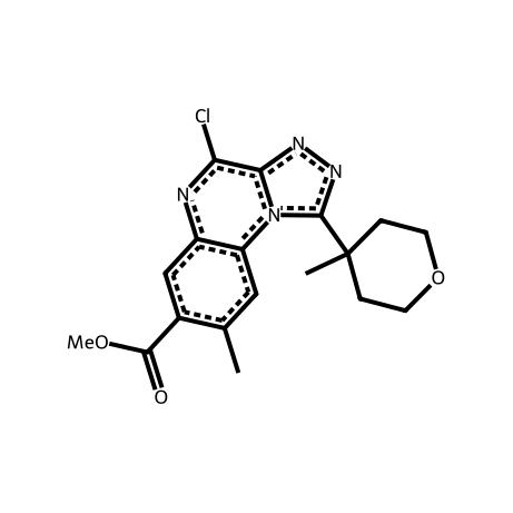 COC(=O)c1cc2nc(Cl)c3nnc(C4(C)CCOCC4)n3c2cc1C